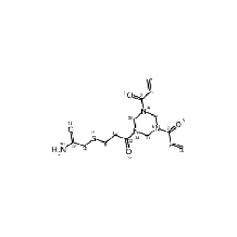 C=CC(=O)N1CN(C(=O)C=C)CN(C(=O)CCSCC(N)=O)C1